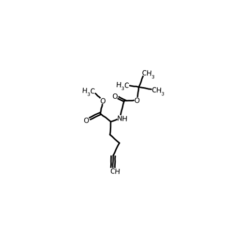 C#CCCC(NC(=O)OC(C)(C)C)C(=O)OC